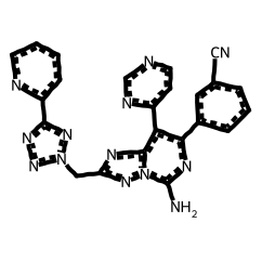 N#Cc1cccc(-c2nc(N)n3nc(Cn4nnc(-c5ccccn5)n4)nc3c2-c2ccncn2)c1